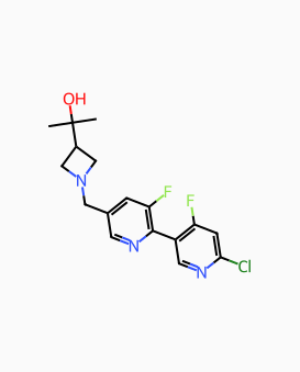 CC(C)(O)C1CN(Cc2cnc(-c3cnc(Cl)cc3F)c(F)c2)C1